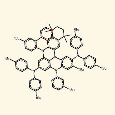 CC(C)(C)c1ccc(N(c2ccc(C(C)(C)C)cc2)c2cc3c4c(c2)N(c2ccc(C(C)(C)C)cc2-c2ccccc2)c2cc5c(cc2B4c2cc(N(c4ccc(C(C)(C)C)cc4)c4ccc(C(C)(C)C)cc4)c(C(C)(C)C)cc2N3c2cccc(C(C)(C)C)c2)C(C)(C)CCC5(C)C)cc1